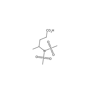 CC(CCC(=O)O)N(S(C)(=O)=O)S(C)(=O)=O